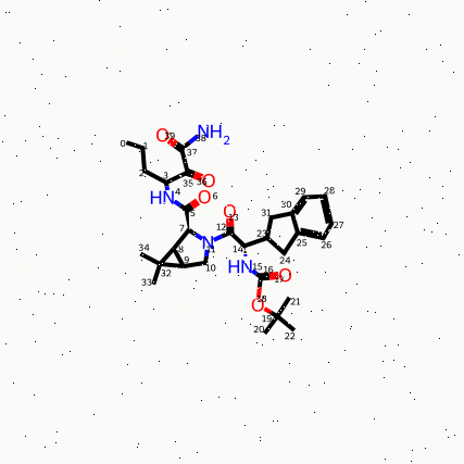 CCCC(NC(=O)[C@@H]1C2C(CN1C(=O)[C@@H](NC(=O)OC(C)(C)C)C1Cc3ccccc3C1)C2(C)C)C(=O)C(N)=O